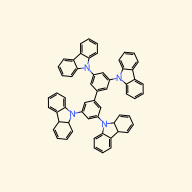 C1=CC2c3ccccc3N(c3cc(-c4cc(-n5c6ccccc6c6ccccc65)cc(-n5c6ccccc6c6ccccc65)c4)cc(N4c5ccccc5C5C=CC=CC54)c3)C2C=C1